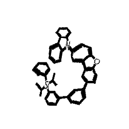 CC(C)[Si](c1ccccc1)(c1cccc(-c2cccc(-c3ccc4oc5ccc(-n6c7ccccc7c7ccccc76)cc5c4c3)c2)c1)C(C)C